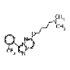 CN(C)CCCCOc1ccc2ncc(-c3ccccc3C(F)(F)F)n2n1